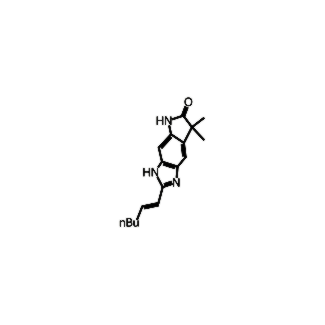 CCCCC=Cc1nc2cc3c(cc2[nH]1)NC(=O)C3(C)C